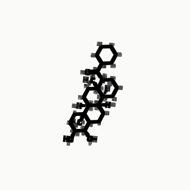 CC12CC[C@H](O)[C@H](O)C1CC[C@@H]1[C@@H]2CC[C@@]2(C)[C@H]1CCCN2C(=O)C1CCCCC1